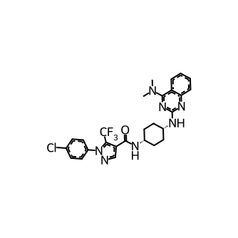 CN(C)c1nc(N[C@H]2CC[C@@H](NC(=O)c3cnn(-c4ccc(Cl)cc4)c3C(F)(F)F)CC2)nc2ccccc12